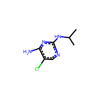 CC(C)Nc1ncc(Cl)c(N)n1